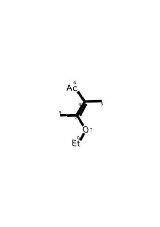 CCO/C(C)=C(\C)C(C)=O